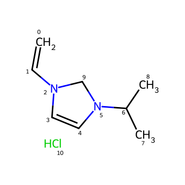 C=CN1C=CN(C(C)C)C1.Cl